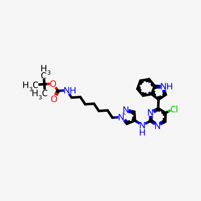 CC(C)(C)OC(=O)NCCCCCCCn1cc(Nc2ncc(Cl)c(-c3c[nH]c4ccccc34)n2)cn1